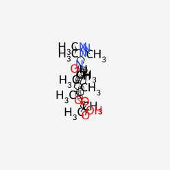 Cc1nnc(C(C)C)n1C1CCN(C(=O)[C@]23CCC[C@@H]2[C@H]2CCC4[C@@]5(C)CC[C@H](OC(=O)CC(C)(C)C(=O)O)[C@H](C)C5CC[C@@]4(C)[C@]2(C)CC3)CC1